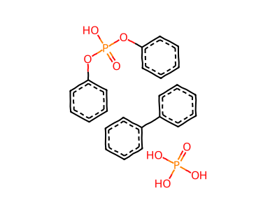 O=P(O)(O)O.O=P(O)(Oc1ccccc1)Oc1ccccc1.c1ccc(-c2ccccc2)cc1